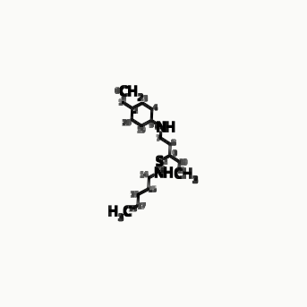 C=CC1CCC(NCCC(CC)SNCCCCC)CC1